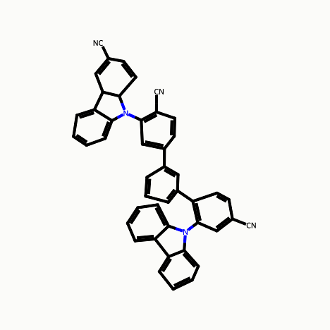 N#CC1=CC2c3ccccc3N(c3cc(-c4cccc(-c5ccc(C#N)cc5-n5c6ccccc6c6ccccc65)c4)ccc3C#N)C2C=C1